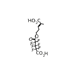 CC(=CCCOC(=O)C(F)(F)C(F)(F)C(F)(F)C(=O)O)C(=O)O